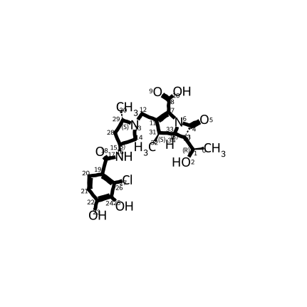 C[C@@H](O)[C@H]1C(=O)N2C(C(=O)O)=C(CN3C[C@@H](NC(=O)c4ccc(O)c(O)c4Cl)C[C@@H]3C)[C@H](C)[C@H]12